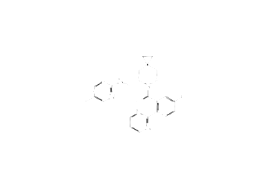 O=C(c1cc(Cl)ccc1-c1ncccn1)N1CCC2(CC2)C[C@H]1CNc1ccc(Cl)cn1